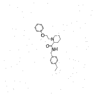 CCc1ccc(CNC(=O)C2CCCCN2CCOc2ccccc2)cc1